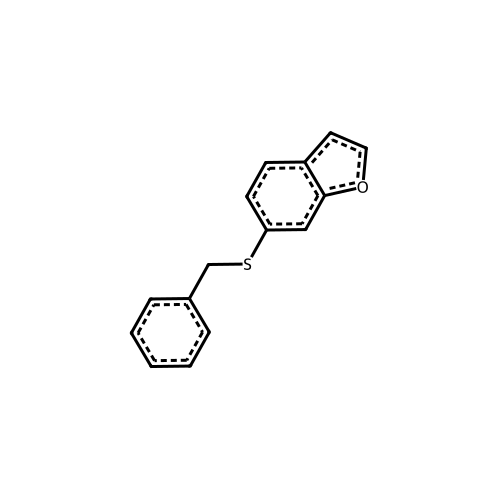 c1ccc(CSc2ccc3ccoc3c2)cc1